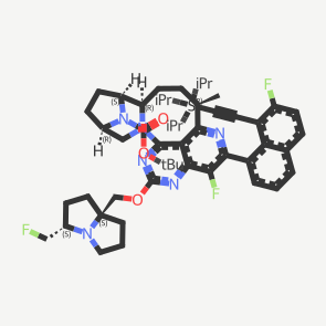 CC(C)[Si](C#Cc1c(F)ccc2cccc(-c3nc4c5c(nc(OC[C@@]67CCCN6[C@H](CF)CC7)nc5c3F)N3C[C@H]5CC[C@@H]([C@H]3CC[C@H]4C)N5C(=O)OC(C)(C)C)c12)(C(C)C)C(C)C